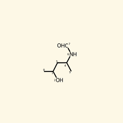 CC(O)CC(C)NC=O